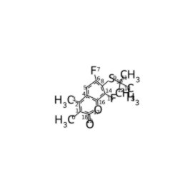 Cc1c(C)c2cc(F)c(SC(C)(C)C)c(F)c2oc1=O